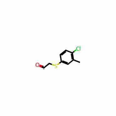 Cc1cc(SC[C]=O)ccc1Cl